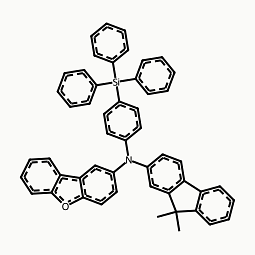 CC1(C)c2ccccc2-c2ccc(N(c3ccc([Si](c4ccccc4)(c4ccccc4)c4ccccc4)cc3)c3ccc4oc5ccccc5c4c3)cc21